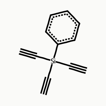 C#C[Si](C#C)(C#C)c1ccccc1